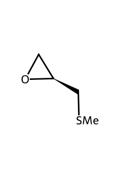 CSC[C@@H]1CO1